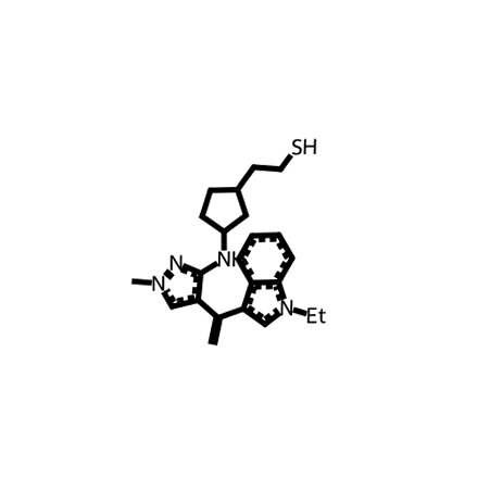 C=C(c1cn(C)nc1NC1CCC(CCS)C1)c1cn(CC)c2ccccc12